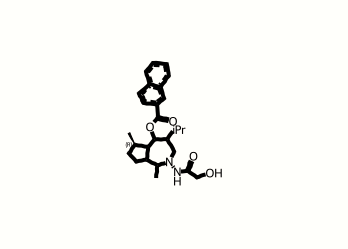 CC(C)C1CN(NC(=O)CO)C(C)C2CC[C@@H](C)C2C1OC(=O)c1ccc2ccccc2c1